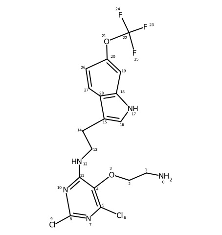 NCCOc1c(Cl)nc(Cl)nc1NCCc1c[nH]c2cc(OC(F)(F)F)ccc12